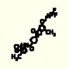 COc1cc(NC(=O)C2CCC(N3Cc4c(C)cc(OCCN5CC(F)(F)C5)cc4C3=O)CC2)ccc1C